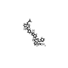 CN(C)[C@H](C(=O)N1CCCC1C(=O)Nc1ccc2[nH]c(-c3ccc(NC(=O)[C@@H]4CCCN4C(=O)CC4CC4)cc3)cc2c1)c1ccccc1